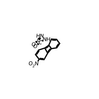 N=C=O.N=C=O.O=[N+]([O-])c1ccc2c(c1)=c1ccccc1=2